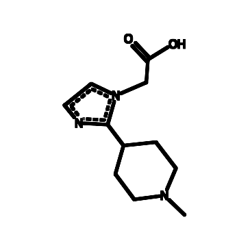 CN1CCC(c2nccn2CC(=O)O)CC1